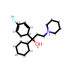 OC(CCN1CCCCC1)(C1C=CC(F)=CC1)C1CCCCC1